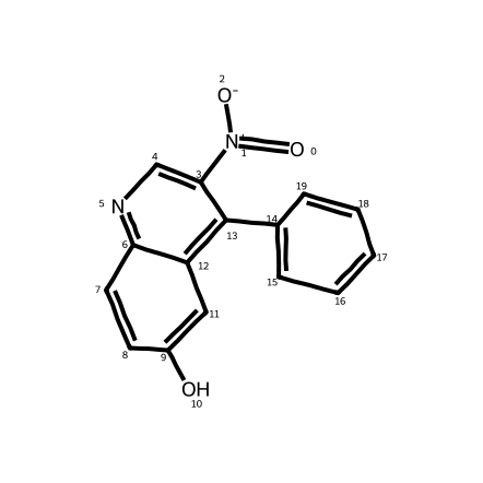 O=[N+]([O-])c1cnc2ccc(O)cc2c1-c1ccccc1